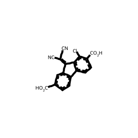 N#CC(C#N)=C1c2cc(C(=O)O)ccc2-c2ccc(C(=O)O)c(Cl)c21